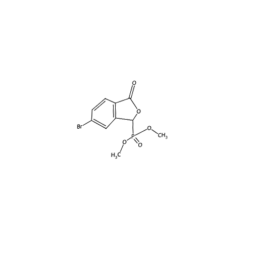 COP(=O)(OC)C1OC(=O)c2ccc(Br)cc21